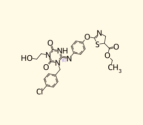 CCOC(=O)C1CN=C(Oc2ccc(/N=c3\[nH]c(=O)n(CCO)c(=O)n3Cc3ccc(Cl)cc3)cc2)S1